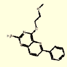 COCCOc1nc(N)nc2ccc(-c3ccccc3)nc12